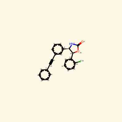 O=C1N[C@H](c2cccc(C#Cc3ccccc3)c2)C(c2ccccc2F)O1